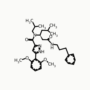 COc1cccc(OC)c1-c1cc(C(=O)N(CC(C)C)[C@H](CC(=O)NCCCc2ccccc2)CC(C)C)n[nH]1